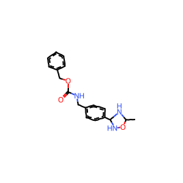 CC1NC(c2ccc(CNC(=O)OCc3ccccc3)cc2)NO1